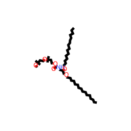 CCCCCCCCCCCCCCCCOCC(CNC(=O)OCCC(C)(C)OCCC(C)(C)OC)OCCCCCCCCCCCCCCCC